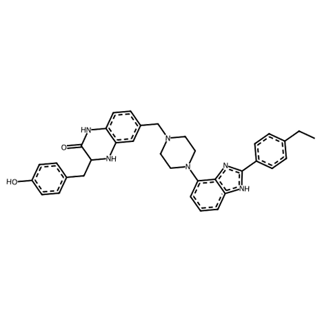 CCc1ccc(-c2nc3c(N4CCN(Cc5ccc6c(c5)NC(Cc5ccc(O)cc5)C(=O)N6)CC4)cccc3[nH]2)cc1